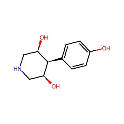 Oc1ccc([C@@H]2[C@H](O)CNC[C@@H]2O)cc1